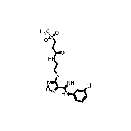 CS(=O)(=O)CCC(=O)NCCSc1nonc1C(=N)Nc1cccc(Cl)c1